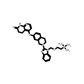 C[Si](C)(C)CCOCn1c(N2CCc3ccc(Oc4ccnc5c4CCC(=O)N5)cc3C2)nc2ccccc21